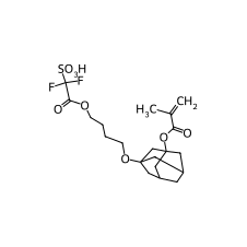 C=C(C)C(=O)OC12CC3CC(CC(OCCCCOC(=O)C(F)(F)S(=O)(=O)O)(C3)C1)C2